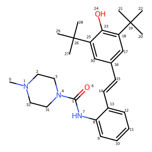 CN1CCN(C(=O)Nc2ccccc2C=Cc2cc(C(C)(C)C)c(O)c(C(C)(C)C)c2)CC1